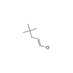 CC(C)(C)C/C=C/[O]